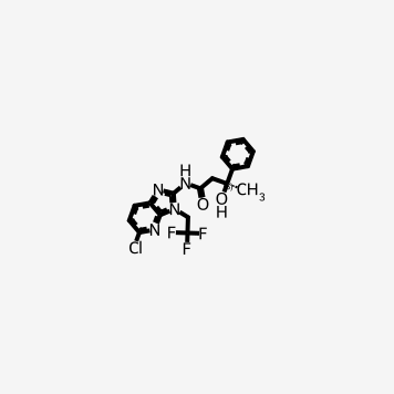 C[C@](O)(CC(=O)Nc1nc2ccc(Cl)nc2n1CC(F)(F)F)c1ccccc1